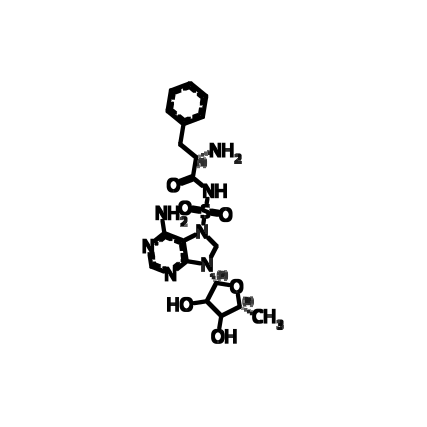 C[C@H]1O[C@@H](N2CN(S(=O)(=O)NC(=O)[C@@H](N)Cc3ccccc3)c3c(N)ncnc32)C(O)C1O